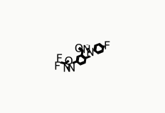 CN1C(=O)c2cc(-c3nnc(C(F)F)o3)ccc2CN1c1ccc(F)cc1